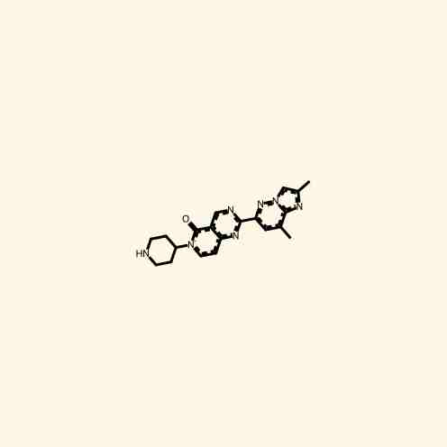 Cc1cn2nc(-c3ncc4c(=O)n(C5CCNCC5)ccc4n3)cc(C)c2n1